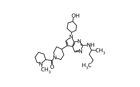 CCCC(C)Nc1ncc2c(C3CCN(C(=O)C4CCCCN4C)CC3)cn(C3CCC(O)CC3)c2n1